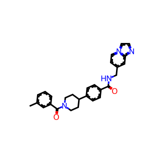 Cc1cccc(C(=O)N2CCC(c3ccc(C(=O)NCc4ccn5ccnc5c4)cc3)CC2)c1